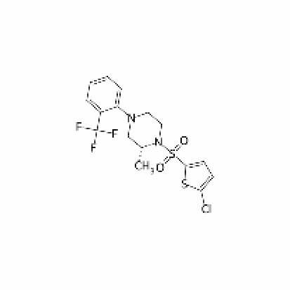 C[C@@H]1CN(c2ccccc2C(F)(F)F)CCN1S(=O)(=O)c1ccc(Cl)s1